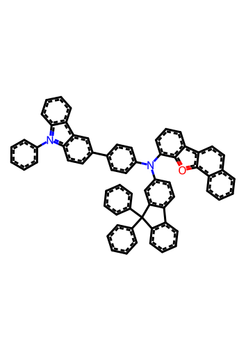 c1ccc(-n2c3ccccc3c3cc(-c4ccc(N(c5ccc6c(c5)C(c5ccccc5)(c5ccccc5)c5ccccc5-6)c5cccc6c5oc5c7ccccc7ccc65)cc4)ccc32)cc1